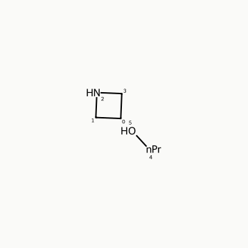 C1CNC1.CCCO